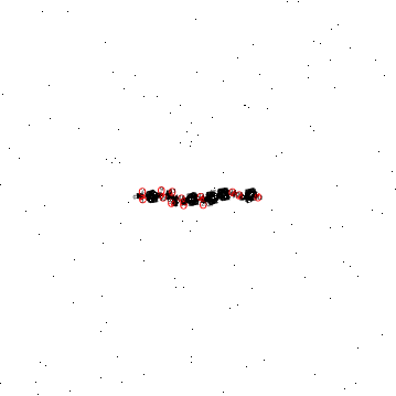 CC(=O)Oc1ccc(C(=O)OC2COC3C(OC(=O)c4ccc(OC(=O)c5ccc(-c6ccc(OCOCC7CCC8OC8C7)cc6)cc5)cc4)COC23)cc1